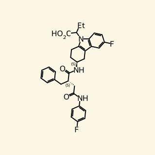 CCC(C(=O)O)n1c2c(c3cc(F)ccc31)C[C@@H](NC(=O)[C@H](CC(=O)Nc1ccc(F)cc1)Cc1ccccc1)CC2